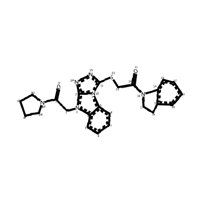 O=C(Cn1c2ccccc2n2c(SCC(=O)N3CCc4ccccc43)nnc12)N1CCCC1